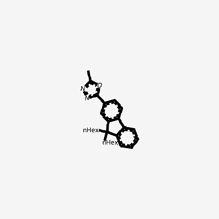 CCCCCCC1(CCCCCC)c2ccccc2-c2ccc(-c3nnc(C)o3)cc21